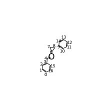 c1ccc(CO[C@H]2C[C@@H]2c2ccccc2)cc1